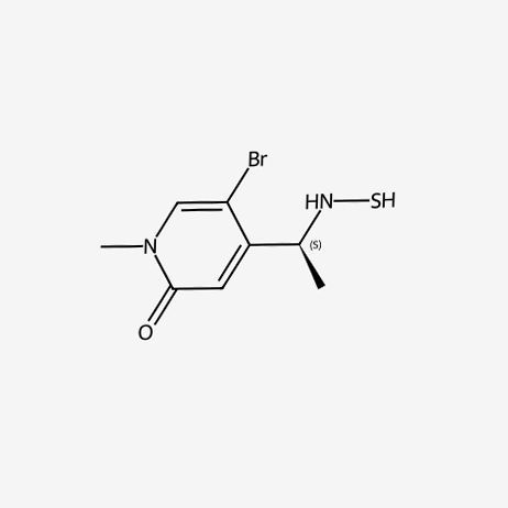 C[C@H](NS)c1cc(=O)n(C)cc1Br